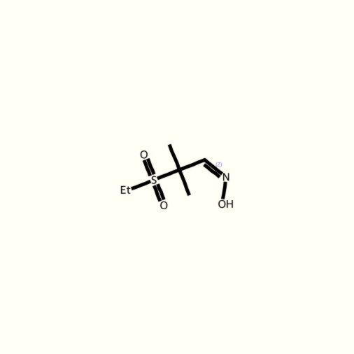 CCS(=O)(=O)C(C)(C)/C=N\O